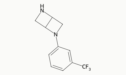 FC(F)(F)c1cccc(N2CC3NCC32)c1